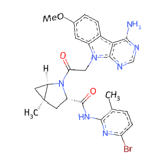 COc1ccc2c3c(N)ncnc3n(CC(=O)N3[C@H](C(=O)Nc4nc(Br)ccc4C)C[C@@]4(C)C[C@@H]34)c2c1